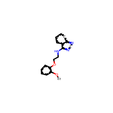 CCOc1ccccc1OCCNc1ncnc2ccccc12